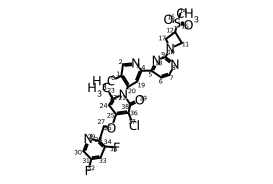 Cc1cnc(-c2ccnc(N3CC(S(C)(=O)=O)C3)n2)cc1-n1c(C)cc(OCc2ncc(F)cc2F)c(Cl)c1=O